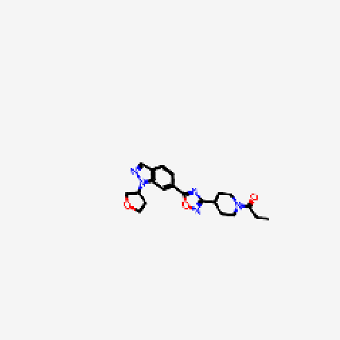 CCC(=O)N1CCC(c2noc(-c3ccc4cnn(C5CCOC5)c4c3)n2)CC1